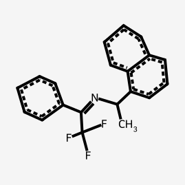 CC(N=C(c1ccccc1)C(F)(F)F)c1cccc2ccccc12